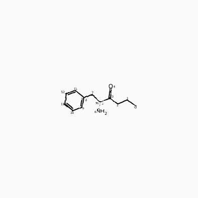 CCCC(=O)[C@H](N)Cc1ccccc1